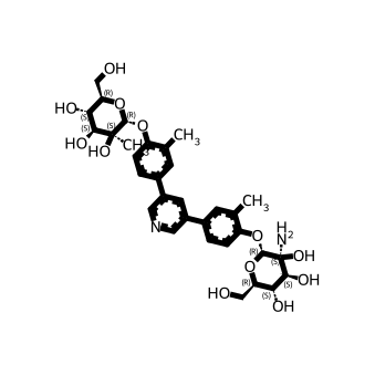 Cc1cc(-c2cncc(-c3ccc(O[C@H]4O[C@H](CO)[C@@H](O)[C@H](O)[C@]4(N)O)c(C)c3)c2)ccc1O[C@H]1O[C@H](CO)[C@@H](O)[C@H](O)[C@]1(C)O